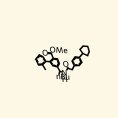 CCCCC(NC(=O)Cc1ccc(C2CCCCC2)cc1)c1ccc(C(=O)OC)c(-c2ccccc2C)c1